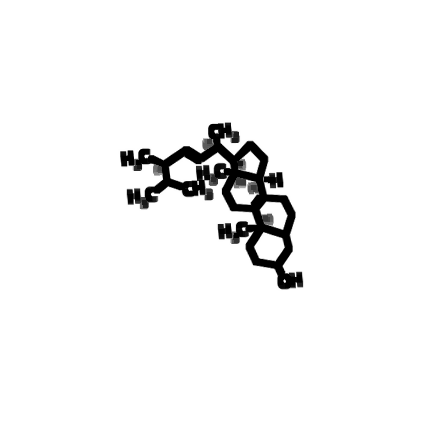 CC(C)[C@@H](C)C=C[C@@H](C)[C@H]1CC[C@H]2C3=C(CC[C@]12C)[C@@]1(C)CCC(O)CC1CC3